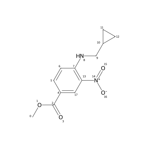 COC(=O)c1ccc(NCC2CC2)c([N+](=O)[O-])c1